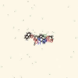 CCOC(=O)c1[nH]c2c(-c3c(COCC4CC4CO)nn(C)c3C)c(Cl)ccc2c1CCCOc1cccc2ccccc12